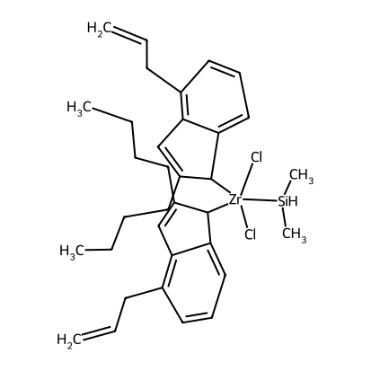 C=CCc1cccc2c1C=C(CCCC)[CH]2[Zr]([Cl])([Cl])([CH]1C(CCCC)=Cc2c(CC=C)cccc21)[SiH](C)C